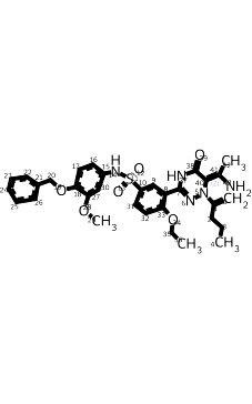 C=C(CCC)N1N=C(c2cc(S(=O)(=O)Nc3ccc(OCc4ccccc4)c(OC)c3)ccc2OCC)NC(=O)/C1=C(\C)N